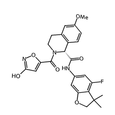 COc1ccc2c(c1)CCN(C(=O)c1cc(O)no1)[C@H]2C(=O)Nc1cc(F)c2c(c1)OCC2(C)C